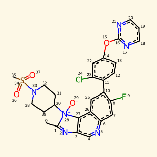 CC1=Nc2cnc3cc(F)c(-c4ccc(Oc5ncccn5)cc4Cl)cc3c2[N+]1([O-])C1CCN(S(C)(=O)=O)CC1